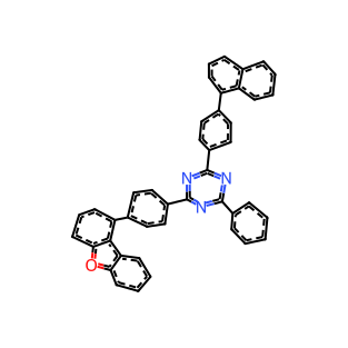 c1ccc(-c2nc(-c3ccc(-c4cccc5ccccc45)cc3)nc(-c3ccc(-c4cccc5oc6ccccc6c45)cc3)n2)cc1